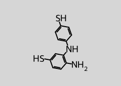 Nc1ccc(S)cc1Nc1ccc(S)cc1